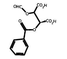 O=COC(C(=O)O)[C@H](OC(=O)c1ccccc1)C(=O)O